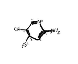 Nc1cc(S)c(Cl)cn1